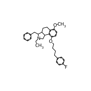 CCN1CC2c3c(OCCCCc4ccc(F)cc4)ccc(OC)c3CCC2C1Cc1ccccc1